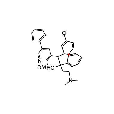 COc1ncc(-c2ccccc2)cc1C(c1cccc(Cl)c1)C(O)(CCN(C)C)c1ccccc1